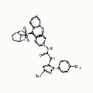 Cc1ccc(-n2nc(C(C)(C)C)cc2NC(=O)Nc2ccc(CC3CC4CCC(C3)N4S(=O)(=O)c3cccc4ccccc34)cc2)cc1